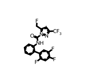 O=C(Nc1ccccc1-c1cc(F)c(F)cc1F)n1nc(C(F)(F)F)[c]c1CF